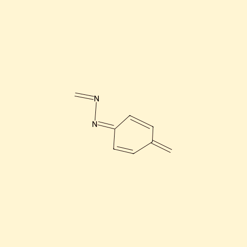 C=NN=C1C=CC(=C)C=C1